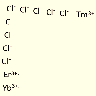 [Cl-].[Cl-].[Cl-].[Cl-].[Cl-].[Cl-].[Cl-].[Cl-].[Cl-].[Er+3].[Tm+3].[Yb+3]